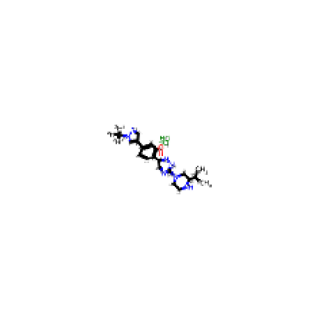 Cl.Cl.[2H]C([2H])([2H])n1cc(-c2ccc(-c3cnc(N4CCNC(C(C)C)C4)nn3)c(O)c2)cn1